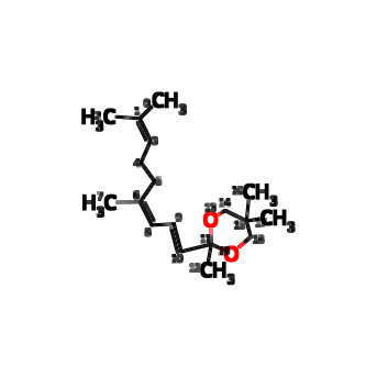 CC(C)=CCCC(C)=CC=CC1(C)OCC(C)(C)CO1